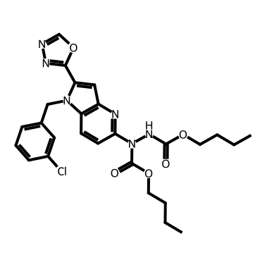 CCCCOC(=O)NN(C(=O)OCCCC)c1ccc2c(cc(-c3nnco3)n2Cc2cccc(Cl)c2)n1